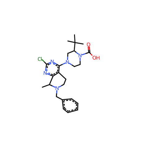 CC1c2nc(Cl)nc(N3CCN(C(=O)O)C(C(C)(C)C)C3)c2CCN1Cc1ccccc1